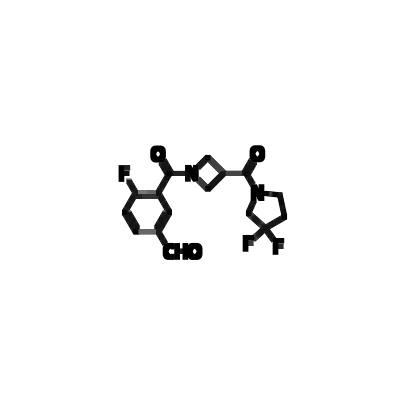 O=Cc1ccc(F)c(C(=O)N2CC(C(=O)N3CCC(F)(F)C3)C2)c1